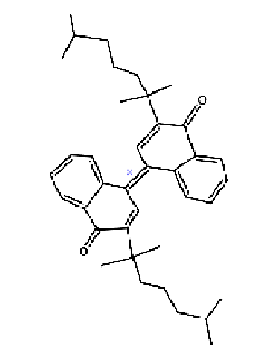 CC(C)CCCC(C)(C)C1=C/C(=C2/C=C(C(C)(C)CCCC(C)C)C(=O)c3ccccc32)c2ccccc2C1=O